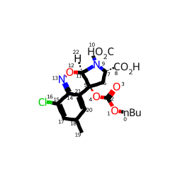 CCCCOC(=O)O[C@@]12C[C@@H](C(=O)O)N(C(=O)O)[C@@H]1ON=C1C(Cl)=CC(C)C=C12